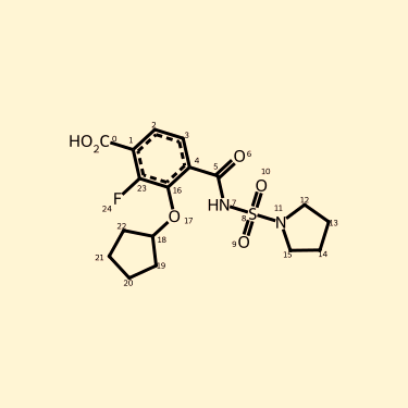 O=C(O)c1ccc(C(=O)NS(=O)(=O)N2CCCC2)c(OC2CCCC2)c1F